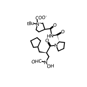 CC(C)(C)[N+]1(C(=O)[O-])CCC(C(=O)NC(=O)[C@@H]2CCCN2C(=O)[C@H](CC2CCCC2)CN(O)C=O)C1